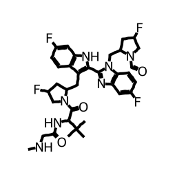 CNCC(=O)NC(C(=O)N1CC(F)CC1Cc1c(-c2nc3cc(F)ccc3n2CC2CC(F)CN2C=O)[nH]c2cc(F)ccc12)C(C)(C)C